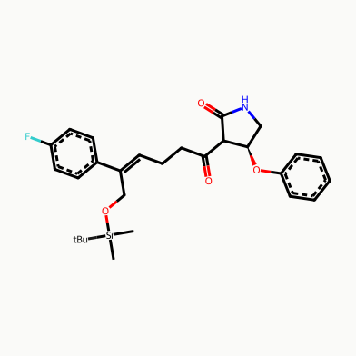 CC(C)(C)[Si](C)(C)OC/C(=C\CCC(=O)C1C(=O)NC[C@H]1Oc1ccccc1)c1ccc(F)cc1